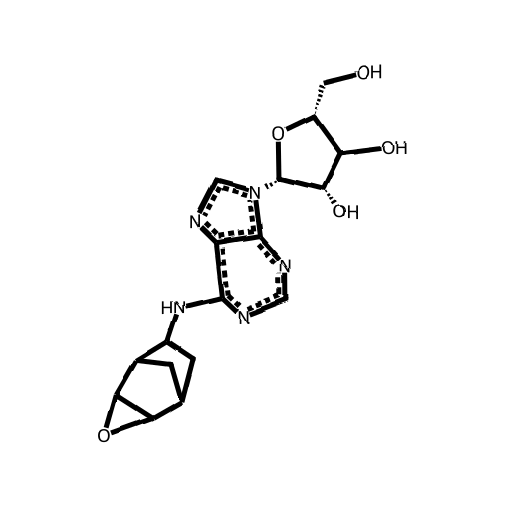 OC[C@H]1O[C@@H](n2cnc3c(NC4CC5CC4C4OC54)ncnc32)[C@@H](O)C1O